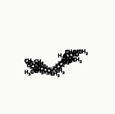 C=CC(=O)Oc1cc(C(C)C)c(N2C(=O)c3cc4cc5cc(C)c(CCc6cc7cc8cc9c(cc8cc7cc6C)C(=O)N(c6c(C(C)C)cc(OC(=O)C=C)cc6C(C)C)C9=O)cc5cc4cc3C2=O)c(C(C)C)c1